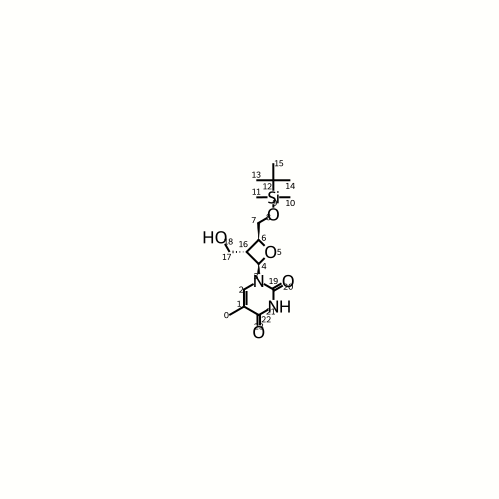 Cc1cn([C@@H]2O[C@H](CO[Si](C)(C)C(C)(C)C)[C@H]2CO)c(=O)[nH]c1=O